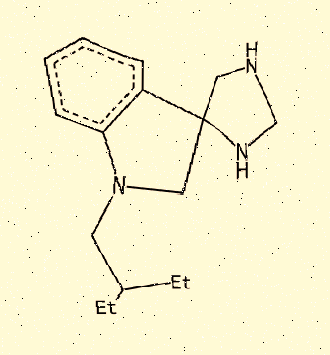 CCC(CC)CN1CC2(CNCN2)c2ccccc21